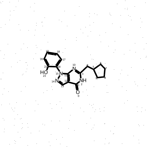 O=c1[nH]c(CC2CCCC2)nc2c1cnn2-c1ccccc1O